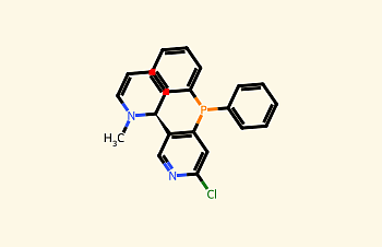 CN1C=CC=C[C@H]1c1cnc(Cl)cc1P(c1ccccc1)c1ccccc1